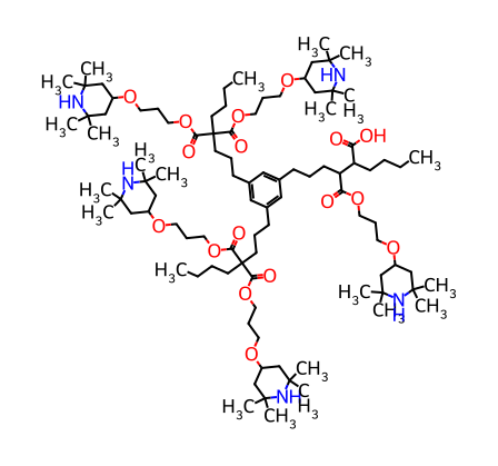 CCCCC(C(=O)O)C(CCCc1cc(CCCC(CCCC)(C(=O)OCCCOC2CC(C)(C)NC(C)(C)C2)C(=O)OCCCOC2CC(C)(C)NC(C)(C)C2)cc(CCCC(CCCC)(C(=O)OCCCOC2CC(C)(C)NC(C)(C)C2)C(=O)OCCCOC2CC(C)(C)NC(C)(C)C2)c1)C(=O)OCCCOC1CC(C)(C)NC(C)(C)C1